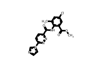 COC(=O)c1cc(Cl)cc(C)c1NC(=O)c1ccc(-n2ccnc2)nn1